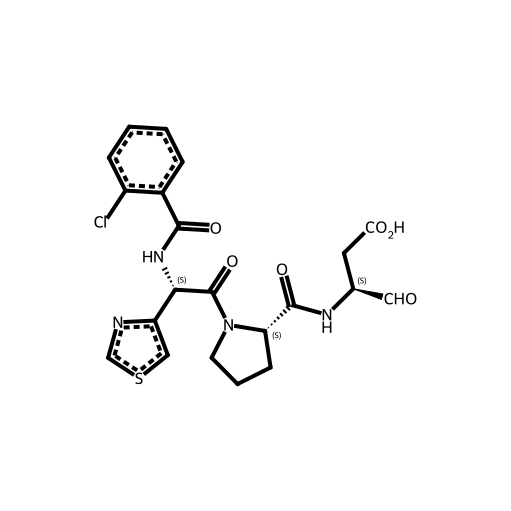 O=C[C@H](CC(=O)O)NC(=O)[C@@H]1CCCN1C(=O)[C@@H](NC(=O)c1ccccc1Cl)c1cscn1